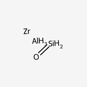 O=[SiH2].[AlH3].[Zr]